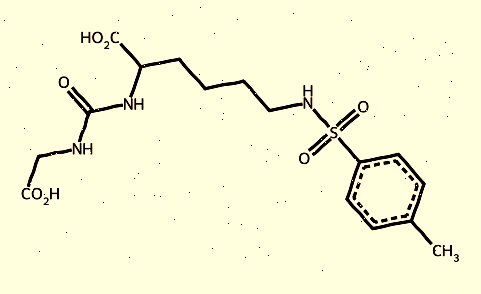 Cc1ccc(S(=O)(=O)NCCCCC(NC(=O)NCC(=O)O)C(=O)O)cc1